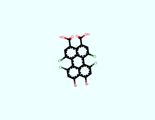 O=C(O)c1cc(Cl)c2c3c(Cl)cc(Br)c4c(Br)cc(Cl)c(c5c(Cl)cc(C(=O)O)c1c25)c43